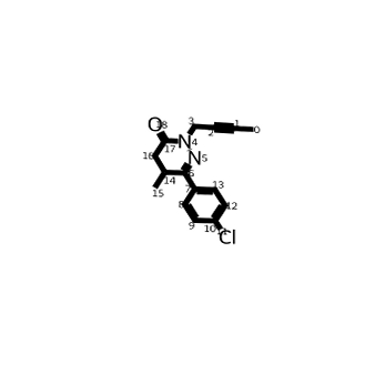 CC#CCN1N=C(c2ccc(Cl)cc2)C(C)CC1=O